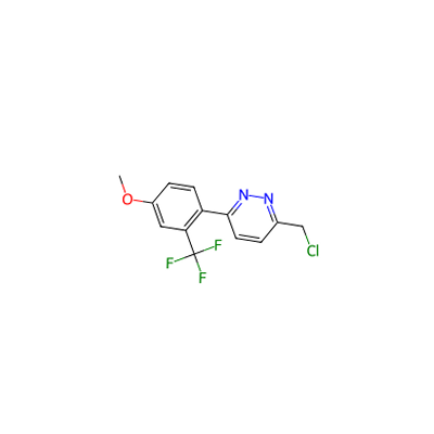 COc1ccc(-c2ccc(CCl)nn2)c(C(F)(F)F)c1